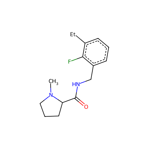 CCc1cccc(CNC(=O)C2CCCN2C)c1F